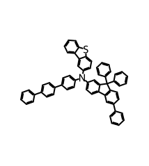 c1ccc(-c2ccc(-c3ccc(N(c4ccc5c(c4)C(c4ccccc4)(c4ccccc4)c4ccc(-c6ccccc6)cc4-5)c4ccc5sc6ccccc6c5c4)cc3)cc2)cc1